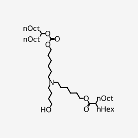 CCCCCCCCC(CCCCCCCC)OC(=O)OCCCCCCN(CCCCO)CCCCCCOC(=O)C(CCCCCC)CCCCCCCC